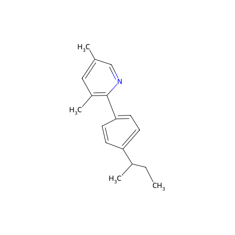 CCC(C)c1ccc(-c2ncc(C)cc2C)cc1